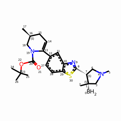 B[C@@]1(C)CN(C)C[C@H]1c1nc2cc(C3=CC[C@H](C)CN3C(=O)OC(C)(C)C)ccc2s1